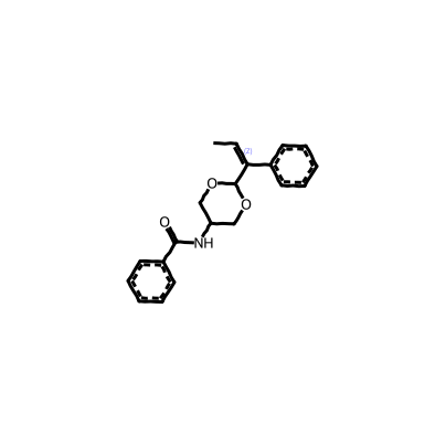 C/C=C(/c1ccccc1)C1OCC(NC(=O)c2ccccc2)CO1